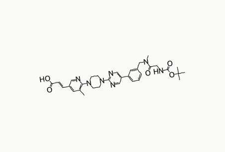 Cc1cc(C=CC(=O)O)cnc1N1CCN(c2ncc(-c3cccc(CN(C)C(=O)CNC(=O)OC(C)(C)C)c3)cn2)CC1